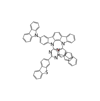 c1ccc(-c2cccc(-n3c4ccccc4c4ccc5c6cc(-n7c8ccccc8c8ccccc87)ccc6n(-c6nc(-c7ccccc7)nc(-c7ccc8c(c7)sc7ccccc78)n6)c5c43)c2)cc1